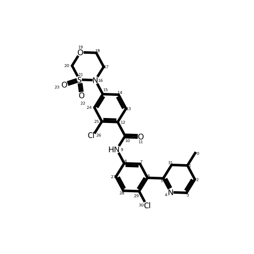 CC1C=CN=C(c2cc(NC(=O)c3ccc(N4CCOCS4(=O)=O)cc3Cl)ccc2Cl)C1